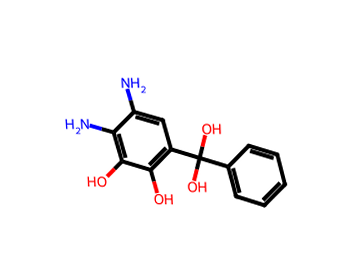 Nc1cc(C(O)(O)c2ccccc2)c(O)c(O)c1N